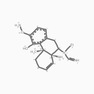 CCN(C=N)C1Cc2ccc(ON)c(O)c2[C@@]2(C)CCC=C[C@@]12N